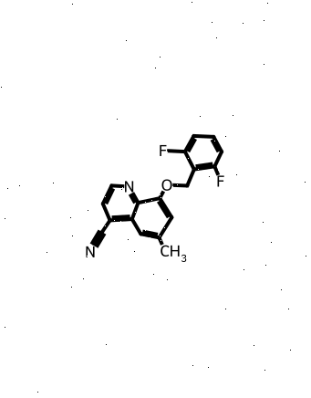 Cc1cc(OCc2c(F)cccc2F)c2nccc(C#N)c2c1